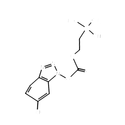 C[Si](C)(C)CCOC(=O)On1nnc2ccc(C(F)(F)F)cc21